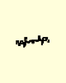 FC(CCOCCC(F)C(F)C(F)(F)F)C(F)C(F)(F)F